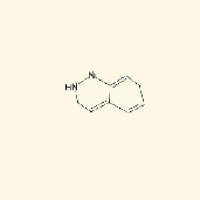 C1=CC2=CCN[N]C2=CC1